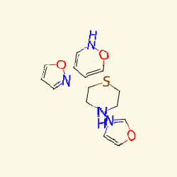 C1=CNOC=C1.C1CSCCN1.c1cnoc1.c1cocn1